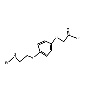 CC(C)NCCOc1ccc(OCC(=O)C(C)C)cc1